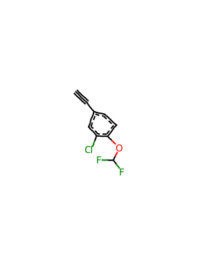 C#Cc1ccc(OC(F)F)c(Cl)c1